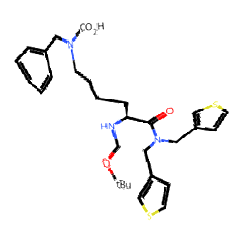 CC(C)(C)OCN[C@@H](CCCCN(Cc1ccccc1)C(=O)O)C(=O)N(Cc1ccsc1)Cc1ccsc1